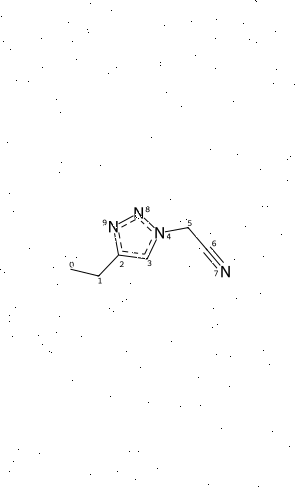 CCc1cn(CC#N)nn1